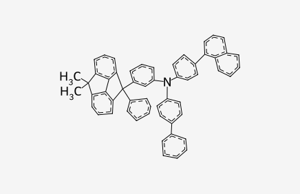 CC1(C)c2cccc3c2-c2c1cccc2C3(c1ccccc1)c1cccc(N(c2ccc(-c3ccccc3)cc2)c2ccc(-c3cccc4ccccc34)cc2)c1